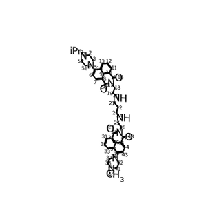 CC(C)N1CCN(c2ccc3c4c(cccc24)C(=O)N(CCNCCCNCCN2C(=O)c4cccc5c(N6CCN(C)CC6)ccc(c45)C2=O)C3=O)CC1